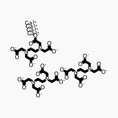 O=C([O-])CN(CCN(CC(=O)[O-])CC(=O)[O-])CC(=O)[O-].O=C([O-])CN(CCN(CC(=O)[O-])CC(=O)[O-])CC(=O)[O-].O=C([O-])CN(CCN(CC(=O)[O-])CC(=O)[O-])CC(=O)[O-].[Ga+3].[Ga+3].[Ga+3].[Ga+3]